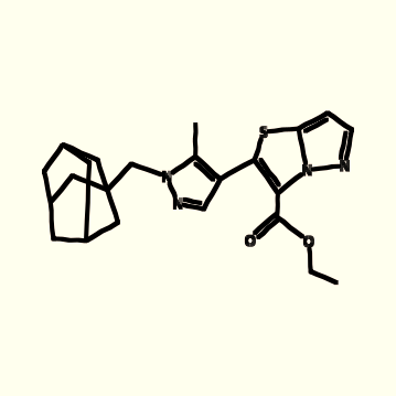 CCOC(=O)c1c(-c2cnn(CC34CC5CC(CC(C5)C3)C4)c2C)sc2ccnn12